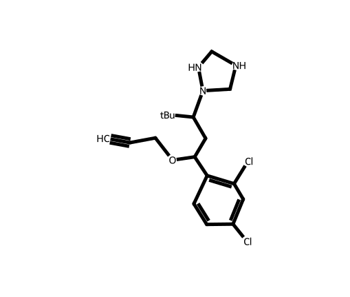 C#CCOC(CC(N1CNCN1)C(C)(C)C)c1ccc(Cl)cc1Cl